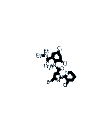 CCN(CC)C(=O)c1cc(Cl)cc(Cl)c1N(C)C(=O)c1cc(Br)nn1-c1ncccc1Cl